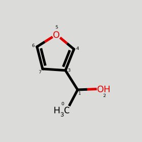 CC(O)c1[c]occ1